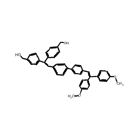 COc1ccc(C(=Cc2ccc(-c3ccc(C=C(c4ccc(CO)cc4)c4ccc(CO)cc4)cc3)cc2)c2ccc(OC)cc2)cc1